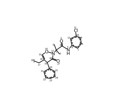 CC(C)(C(=O)Nc1cccc(Cl)c1)N1OC=C(CI)C(c2ccccc2)C1=O